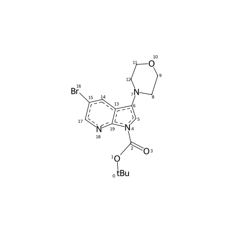 CC(C)(C)OC(=O)n1cc(N2CCOCC2)c2cc(Br)cnc21